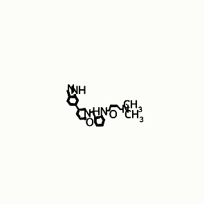 CN(C)C/C=C\C(=O)Nc1ccccc1Cn1cc(-c2ccc3cn[nH]c3c2)ccc1=O